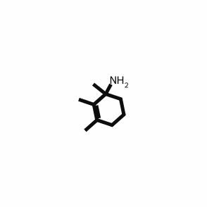 CC1=C(C)C(C)(N)CCC1